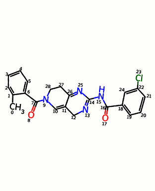 Cc1ccccc1C(=O)N1C=C2CN=C(NC(=O)c3cccc(Cl)c3)N=C2CC1